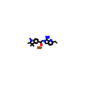 Br.CCc1ccc2c(n1)C(=N)N(CC(=O)c1ccc3c(c1)C(C)(C)C(C)N3C)C2